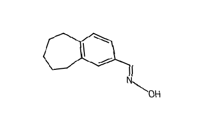 ON=Cc1ccc2c(c1)CCCCC2